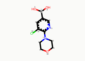 OB(O)c1cnc(N2CCOCC2)c(Cl)c1